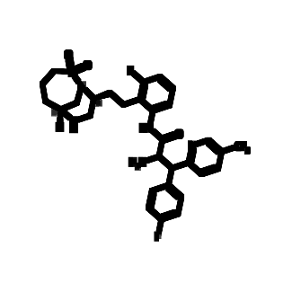 NC(C(=O)Nc1cccc(F)c1CC[C@H]1CN[C@@H]2CCCS(=O)(=O)N1C2)C(c1ccc(F)cc1)c1ccc(C(F)(F)F)cn1